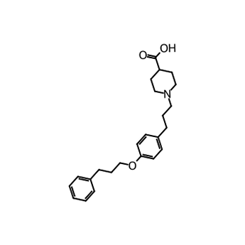 O=C(O)C1CCN(CCCc2ccc(OCCCc3ccccc3)cc2)CC1